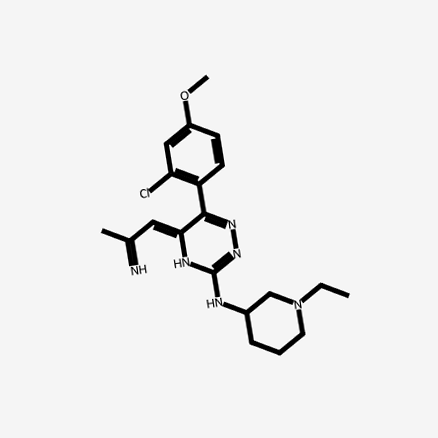 CCN1CCCC(NC2=NN=C(c3ccc(OC)cc3Cl)/C(=C/C(C)=N)N2)C1